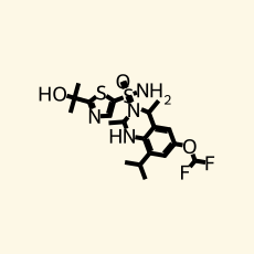 CC(N=S(N)(=O)c1cnc(C(C)(C)O)s1)Nc1c(C(C)C)cc(OC(F)F)cc1C(C)C